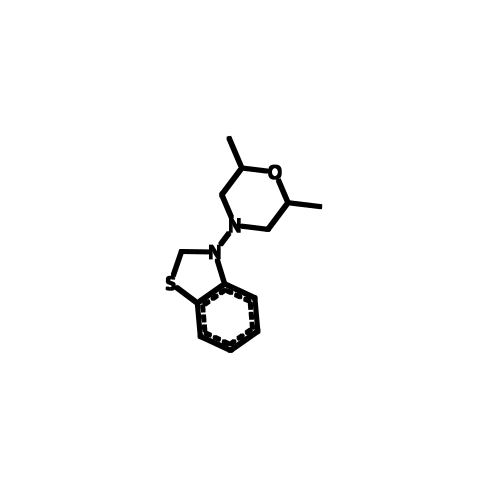 CC1CN(N2CSc3ccccc32)CC(C)O1